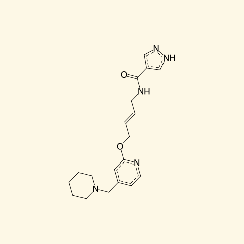 O=C(NCC=CCOc1cc(CN2CCCCC2)ccn1)c1cn[nH]c1